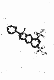 Cn1c(-c2ccccc2)cc2cc3cc(S(=O)(=O)O)cc(S(=O)(=O)O)c3cc21